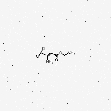 CCOC(=O)C=C(N)C(Cl)Cl